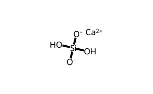 [Ca+2].[O-][Si]([O-])(O)O